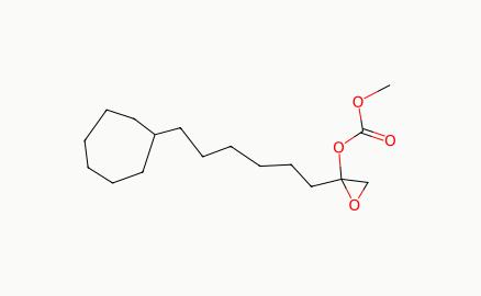 COC(=O)OC1(CCCCCCC2CCCCCC2)CO1